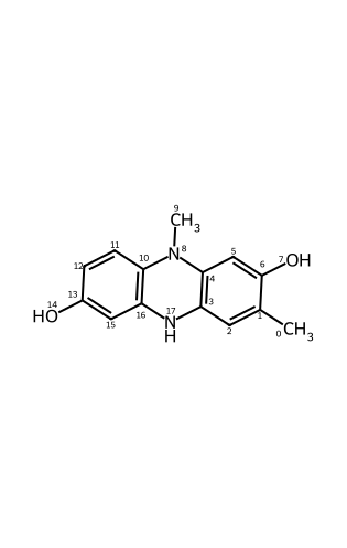 Cc1cc2c(cc1O)N(C)c1ccc(O)cc1N2